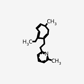 CCC1=C\C=C/C(C)C/C=C\1CCc1cccc(C)n1